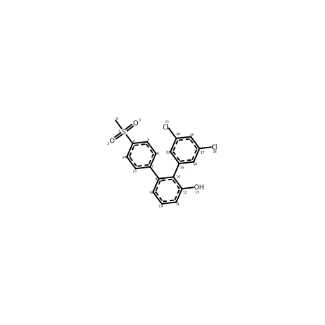 CS(=O)(=O)c1ccc(-c2[c]ccc(O)c2-c2cc(Cl)cc(Cl)c2)cc1